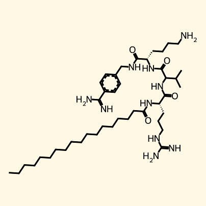 CCCCCCCCCCCCCCCCCC(=O)N[C@@H](CCCNC(=N)N)C(=O)NC(C(=O)N[C@@H](CCCCN)C(=O)NCc1ccc(C(=N)N)cc1)C(C)C